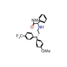 CNC(=O)[C@H](NCC[C@H](c1ccc(OC)cc1)c1ccc(C(F)(F)F)cc1)c1ccccc1